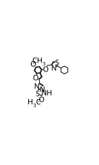 COc1cc(OCc2csc(C3CCCCC3)n2)c2cc(-c3cn4c(n3)SC(OC)N4)oc2c1